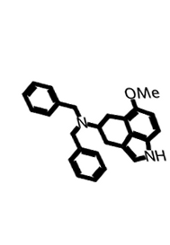 COc1ccc2[nH]cc3c2c1CC(N(Cc1ccccc1)Cc1ccccc1)C3